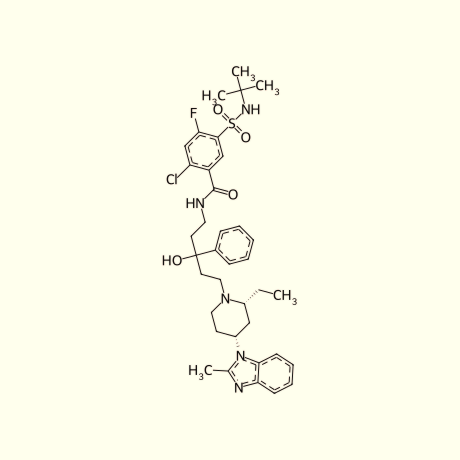 CC[C@@H]1C[C@H](n2c(C)nc3ccccc32)CCN1CCC(O)(CCNC(=O)c1cc(S(=O)(=O)NC(C)(C)C)c(F)cc1Cl)c1ccccc1